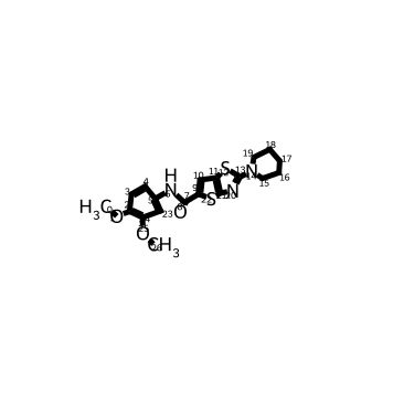 COc1ccc(NC(=O)c2cc3sc(N4CCCCC4)nc3s2)cc1OC